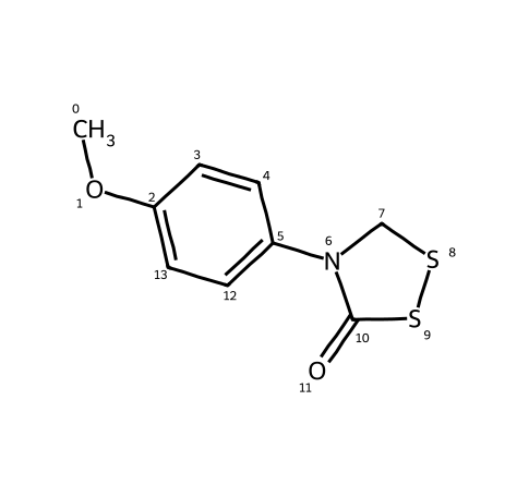 COc1ccc(N2CSSC2=O)cc1